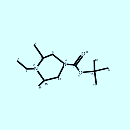 CCN1C(C)CN(C(=O)OC(C)(C)C)CC1C